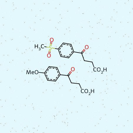 COc1ccc(C(=O)CCC(=O)O)cc1.CS(=O)(=O)c1ccc(C(=O)CCC(=O)O)cc1